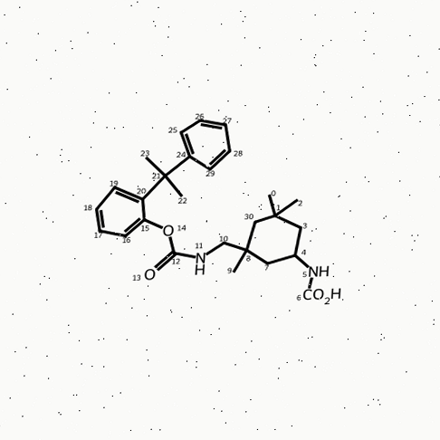 CC1(C)CC(NC(=O)O)CC(C)(CNC(=O)Oc2ccccc2C(C)(C)c2ccccc2)C1